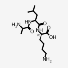 CC(C)CC(NC(=O)C(C)N)C(=O)N[C@H](CCCCN)C(=O)O